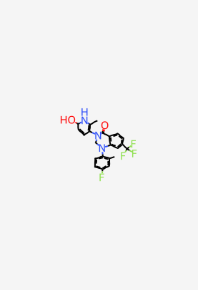 CC1=C(N2CN(c3ccc(F)cc3C)c3cc(C(F)(F)F)ccc3C2=O)C=CC(O)N1